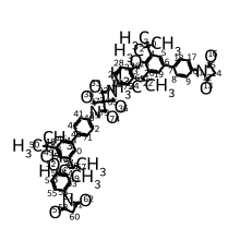 CC(C)(C)c1cc(-c2ccc(N3C(=O)CC3=O)cc2)cc(C(C)(C)C)c1Oc1ccc(N2C(=O)C3(C2=O)C(=O)N(c2ccc(-c4cc(C(C)(C)C)c(Oc5ccc(N6C(=O)CC6=O)cc5)c(C(C)(C)C)c4)cc2)C3=O)cc1